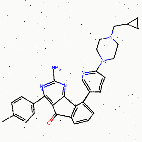 Cc1ccc(-c2nc(N)nc3c2C(=O)c2cccc(-c4ccc(N5CCN(CC6CC6)CC5)nc4)c2-3)cc1